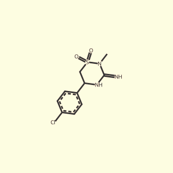 CN1C(=N)NC(c2ccc(Cl)cc2)CS1(=O)=O